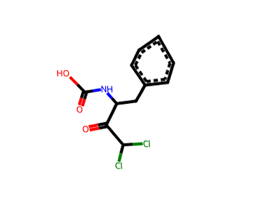 O=C(O)NC(Cc1ccccc1)C(=O)C(Cl)Cl